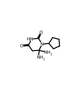 NC1(N)CC(=O)NC(=O)N1C1CCCC1